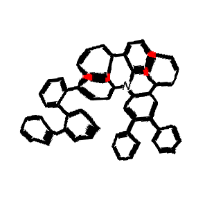 c1ccc(-c2cc(-c3ccccc3)c(N(c3ccc(-c4ccccc4-c4ccccc4-c4ccccc4)cc3)c3ccccc3-c3ccccc3)cc2-c2ccccc2)cc1